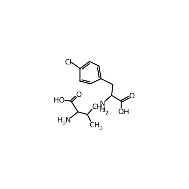 CC(C)C(N)C(=O)O.NC(Cc1ccc(Cl)cc1)C(=O)O